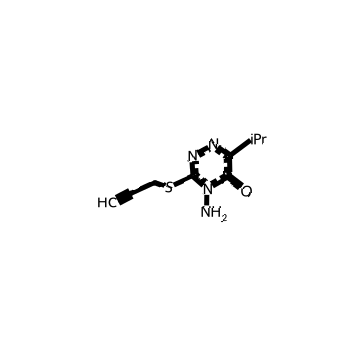 C#CCSc1nnc(C(C)C)c(=O)n1N